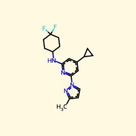 Cc1ccn(-c2cc(C3CC3)cc(NC3CCC(F)(F)CC3)n2)n1